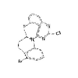 CC1CCc2c(Br)cccc2N1c1nc(Cl)nc2cccc(F)c12